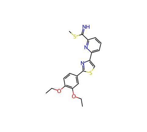 CCOc1ccc(-c2nc(-c3cccc(C(=N)SC)n3)cs2)cc1OCC